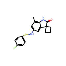 Cc1cc(NSc2ccc(F)cc2)cc2c1NC(=O)C21CCC1